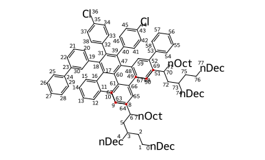 CCCCCCCCCCCCC(CCCCCCCCCC)CC(CCCCCCCC)CCCc1ccccc1-c1c(-c2cccc(-c3ccccc3)c2)c(-c2ccc(Cl)cc2)c(-c2ccc(Cl)cc2)c(-c2cccc(-c3ccccc3)c2)c1-c1ccccc1CCCC(CCCCCCCC)CC(CCCCCCCCCC)CCCCCCCCCCCC